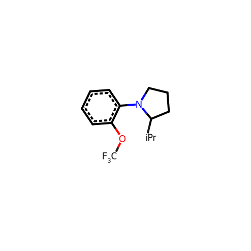 CC(C)C1CCCN1c1ccccc1OC(F)(F)F